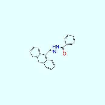 O=C(N/N=C/c1c2ccccc2cc2ccccc12)c1ccccc1